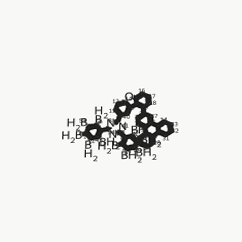 Bc1c(B)c(B)c(-c2nc(-c3ccc4oc5cccc(-c6ccc7c8ccccc8c8ccccc8c7c6)c5c4c3)nc(-c3c(B)c(B)c(B)c(B)c3B)n2)c(B)c1B